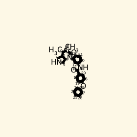 CC(C1CCNC1)[As](C)c1nc2cc(NC(=O)c3ccc(Oc4ccccc4)cc3)ccc2o1